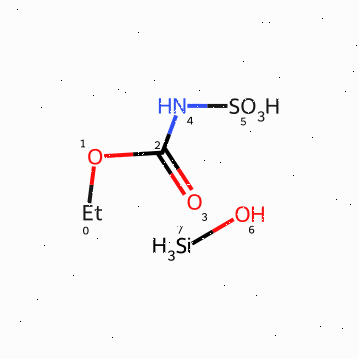 CCOC(=O)NS(=O)(=O)O.O[SiH3]